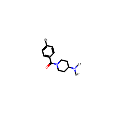 CCCN(CC)C1CCN(C(=O)c2ccc(CC)cc2)CC1